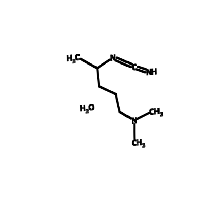 CC(CCCN(C)C)N=C=N.O